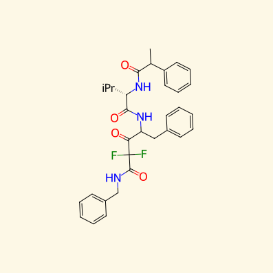 CC(C(=O)N[C@H](C(=O)NC(Cc1ccccc1)C(=O)C(F)(F)C(=O)NCc1ccccc1)C(C)C)c1ccccc1